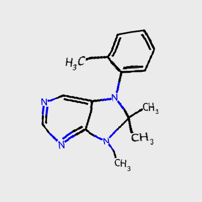 Cc1ccccc1N1c2cncnc2N(C)C1(C)C